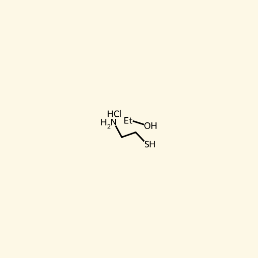 CCO.Cl.NCCS